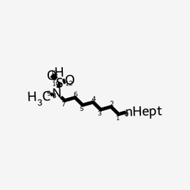 CCCCCCCCCCCCCCN(C)[SH](=O)=O